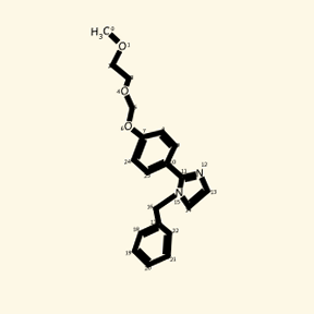 COCCOCOc1ccc(-c2nccn2Cc2ccccc2)cc1